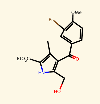 CCOC(=O)c1[nH]c(CO)c(C(=O)c2ccc(OC)c(Br)c2)c1C